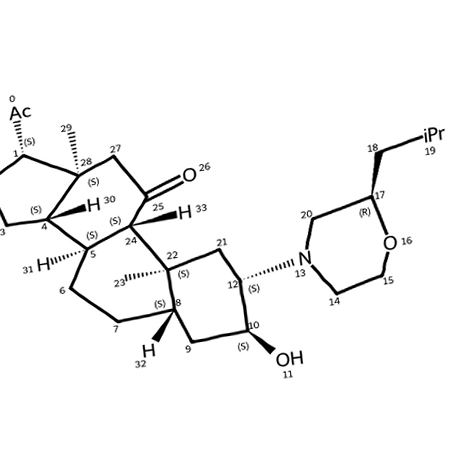 CC(=O)[C@H]1CC[C@H]2[C@@H]3CC[C@H]4C[C@H](O)[C@@H](N5CCO[C@H](CC(C)C)C5)C[C@]4(C)[C@H]3C(=O)C[C@]12C